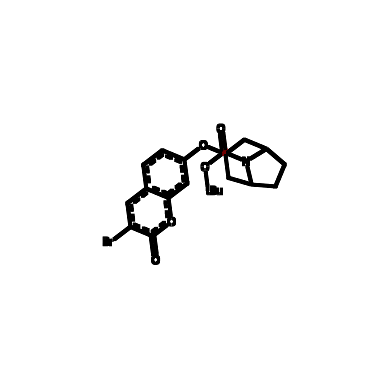 CC(C)(C)OC(=O)N1C2CCC1CC(Oc1ccc3cc(Br)c(=O)oc3c1)C2